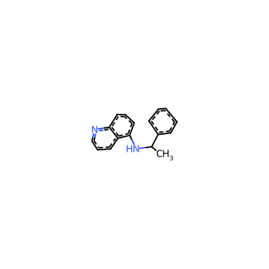 CC(Nc1cccc2ncccc12)c1ccccc1